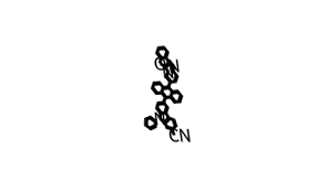 N#Cc1ccc2c3cc(-c4c5ccccc5c(-c5ccc6nc7c8ccccc8oc7n6c5)c5ccccc45)ccc3n(-c3ccccc3)c2c1